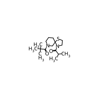 CC(C)C(=O)N1CCSC12CCCN(C(=O)C(C)(C)C)C2